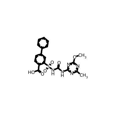 COc1nc(C)nc(NC(=O)NS(=O)(=O)c2cc(-c3ccccc3)ccc2C(=O)O)n1